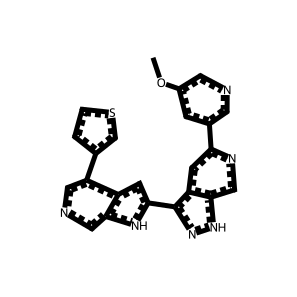 COc1cncc(-c2cc3c(-c4cc5c(-c6ccsc6)cncc5[nH]4)n[nH]c3cn2)c1